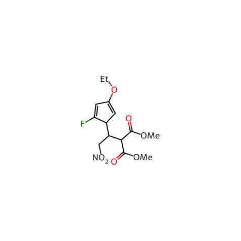 CCOC1=CC(C(C[N+](=O)[O-])C(C(=O)OC)C(=O)OC)C(F)=C1